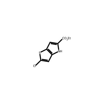 CCOC(=O)c1cc2sc(Cl)cc2[nH]1